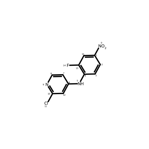 O=[N+]([O-])c1ccc(Nc2ccnc(Cl)c2)c(F)c1